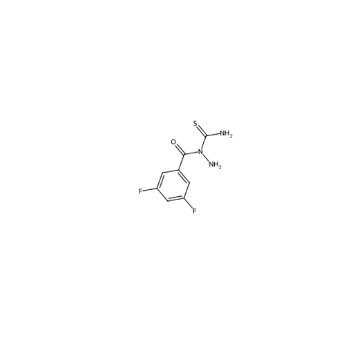 NC(=S)N(N)C(=O)c1cc(F)cc(F)c1